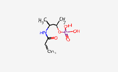 C=CC(=O)NC(C)C(C)OP(=O)(O)O